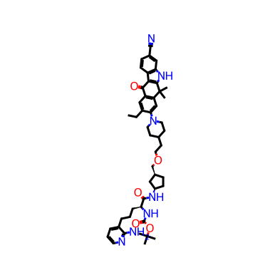 CCc1cc2c(cc1N1CCC(CCOC[C@H]3CC[C@@H](NC(=O)[C@H](CCCc4cccnc4N)NC(=O)OC(C)(C)C)C3)CC1)C(C)(C)c1[nH]c3cc(C#N)ccc3c1C2=O